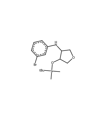 CC(C)(C)[Si](C)(C)OC1COCC1Nc1cccc(Br)c1